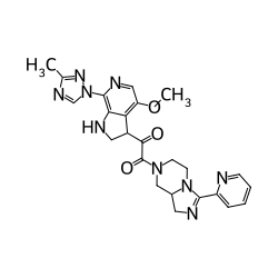 COc1cnc(-n2cnc(C)n2)c2c1C(C(=O)C(=O)N1CCN3C(c4ccccn4)=NCC3C1)CN2